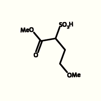 COCCC(C(=O)OC)S(=O)(=O)O